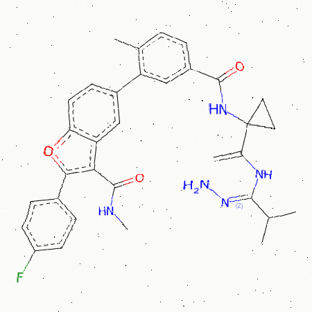 C=C(N/C(=N\N)C(C)C)C1(NC(=O)c2ccc(C)c(-c3ccc4oc(-c5ccc(F)cc5)c(C(=O)NC)c4c3)c2)CC1